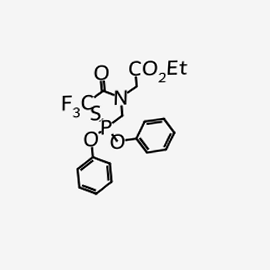 CCOC(=O)CN(CP(=S)(Oc1ccccc1)Oc1ccccc1)C(=O)C(F)(F)F